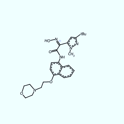 Cn1nc(C(C)(C)C)cc1/C(=N/O)C(=O)Nc1ccc(OCCN2CCOCC2)c2ccccc12